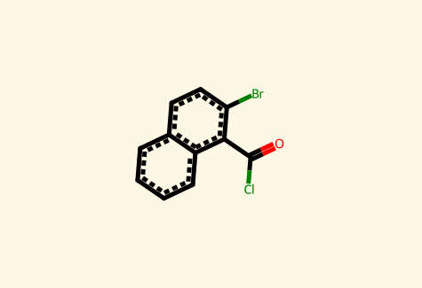 O=C(Cl)c1c(Br)ccc2ccccc12